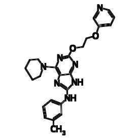 Cc1cccc(Nc2nc3c(N4CCCCC4)nc(OCCOc4cccnc4)nc3[nH]2)c1